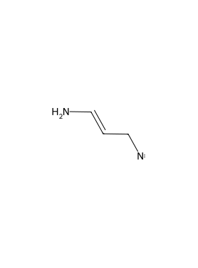 [N]CC=CN